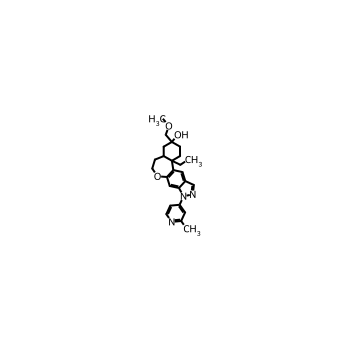 CCC12CCC(O)(COC)CC1CCOc1cc3c(cnn3-c3ccnc(C)c3)cc12